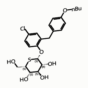 CCCCOc1ccc(Cc2cc(Cl)ccc2O[C@H]2S[C@@H](CO)[C@@H](O)[C@H](O)[C@H]2O)cc1